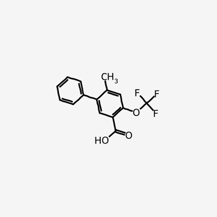 Cc1cc(OC(F)(F)F)c(C(=O)O)cc1-c1ccccc1